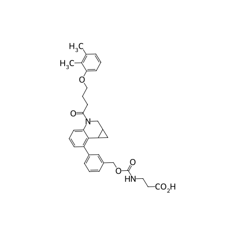 Cc1cccc(OCCCC(=O)N2CC3CC3c3c(-c4cccc(COC(=O)NCCC(=O)O)c4)cccc32)c1C